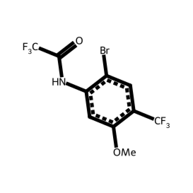 COc1cc(NC(=O)C(F)(F)F)c(Br)cc1C(F)(F)F